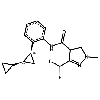 CN1CC(C(=O)Nc2ccccc2[C@H]2C[C@H]2C2CC2)C(C(F)F)=N1